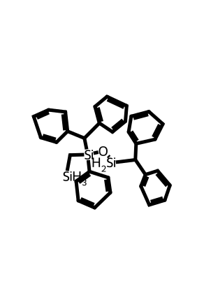 [SiH3]C[Si](O[SiH2]C(c1ccccc1)c1ccccc1)(c1ccccc1)C(c1ccccc1)c1ccccc1